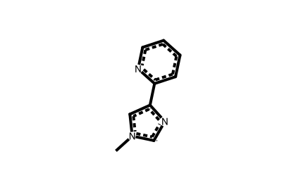 Cn1[c]nc(-c2ccccn2)c1